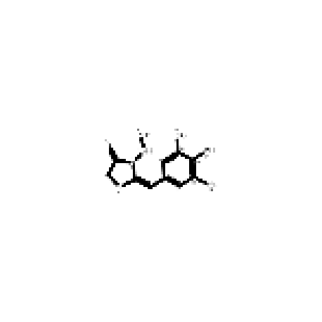 CCCNN1C(=O)CSC1=Cc1cc(C(C)(C)C)c(O)c(C(C)(C)C)c1